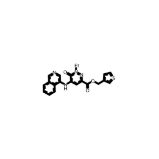 CCn1nc(C(=O)OCc2ccsc2)cc(Nc2cncc3ccccc23)c1=O